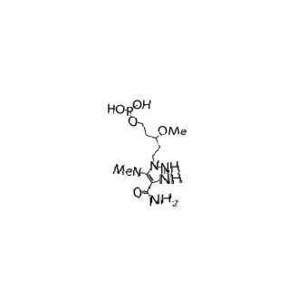 CNC1=C(C(N)=O)NNN1CCC(CCOP(O)O)OC